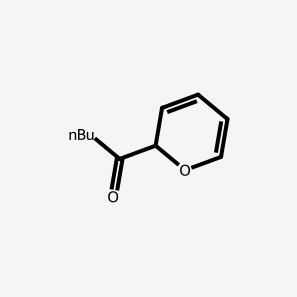 CCCCC(=O)C1C=CC=CO1